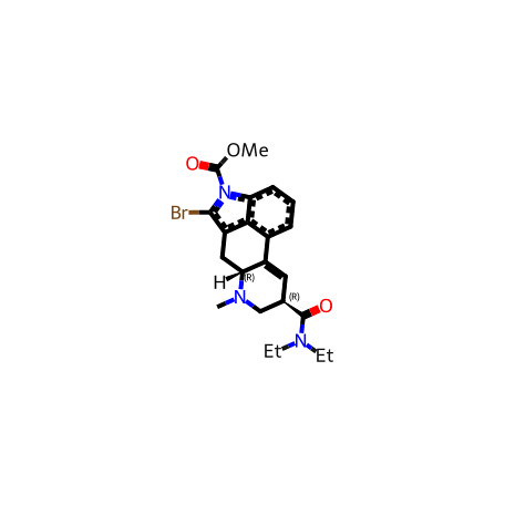 CCN(CC)C(=O)[C@@H]1C=C2c3cccc4c3c(c(Br)n4C(=O)OC)C[C@H]2N(C)C1